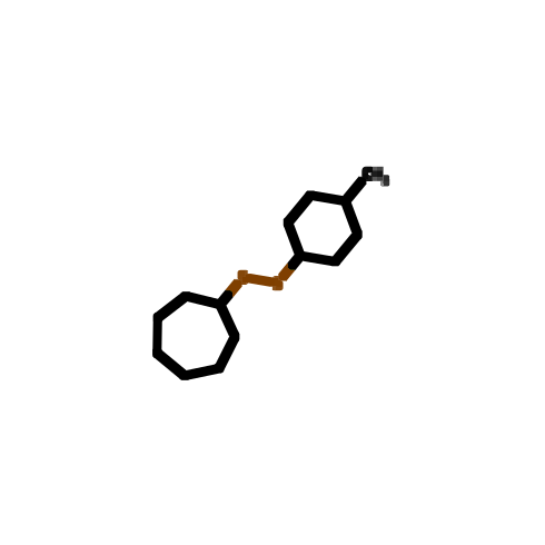 CC1CCC(SSC2CCCCCC2)CC1